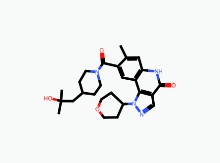 Cc1cc2[nH]c(=O)c3cnn(C4CCOCC4)c3c2cc1C(=O)N1CCC(CC(C)(C)O)CC1